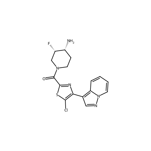 N[C@@H]1CCN(C(=O)c2nc(-c3cnn4ccccc34)c(Cl)s2)C[C@@H]1F